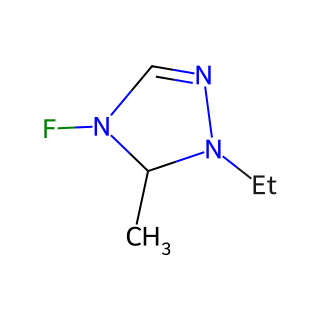 CCN1N=CN(F)C1C